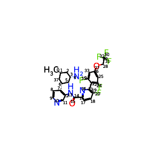 C[C@@H]1C[C@H](N)C[C@H](c2ccncc2NC(=O)c2ccc(F)c(-c3c(F)cc(OCC(F)(F)F)cc3F)n2)C1